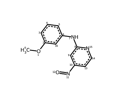 COc1cccc(Nc2cc(N=O)ccn2)c1